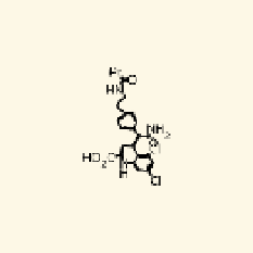 CC(C)C(=O)NCCc1ccc(/C(C(N)=O)=C2\CC(C(=O)O)Nc3cc(Cl)cc(Cl)c32)cc1